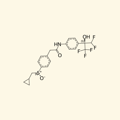 O=C(Cc1ccc([S@@+]([O-])CC2CC2)cc1)Nc1ccc([C@](O)(C(F)F)C(F)(F)F)cc1